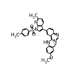 COc1ccc(Nc2ncnc3ccc(-c4cn(S(=O)(=O)c5ccc(C)cc5)c5nc(C)ccc45)cc23)c(F)c1